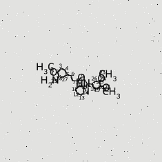 COc1ccc(C=CC(=O)c2cccnc2Nc2ccc(OC)c(OC)c2)cc1N